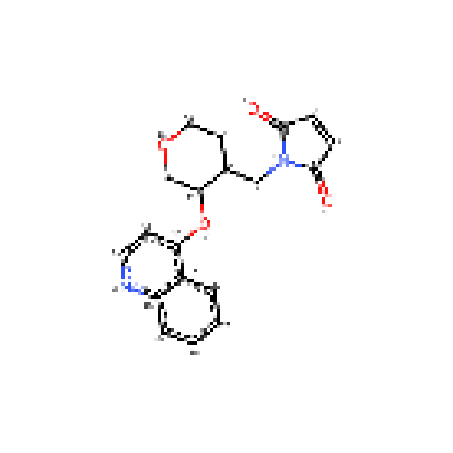 O=C1C=CC(=O)N1CC1CCOCC1Oc1ccnc2ccccc12